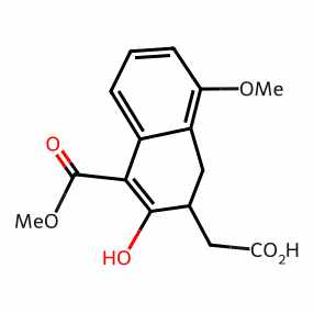 COC(=O)C1=C(O)C(CC(=O)O)Cc2c(OC)cccc21